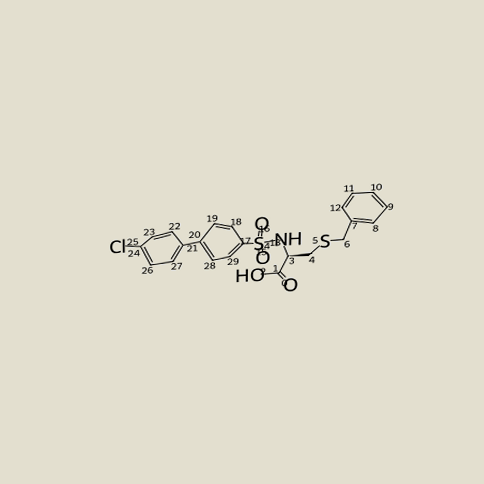 O=C(O)[C@H](CSCc1ccccc1)NS(=O)(=O)c1ccc(-c2ccc(Cl)cc2)cc1